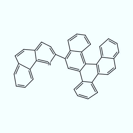 c1ccc2c(c1)ccc1ccc(-c3cc4c5ccccc5c5ccc6ccccc6c5c4c4ccccc34)nc12